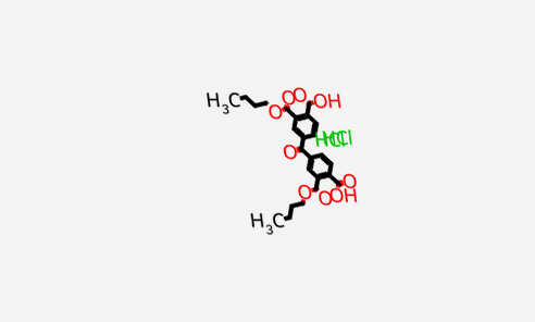 CCCCOC(=O)c1cc(C(=O)c2ccc(C(=O)O)c(C(=O)OCCCC)c2)ccc1C(=O)O.Cl.Cl